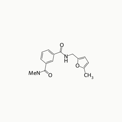 CNC(=O)c1cccc(C(=O)NCc2ccc(C)o2)c1